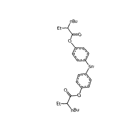 CCCCC(CC)C(=O)Oc1cc[c]([Sn][c]2ccc(OC(=O)C(CC)CCCC)cc2)cc1